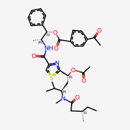 CC[C@H](C)CC(=O)N(C)[C@H](C[C@@H](OC(C)=O)c1nc(C(=O)N[C@H](C)[C@@H](OC(=O)c2ccc(C(C)=O)cc2)c2ccccc2)cs1)C(C)C